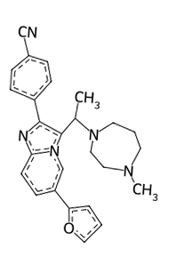 CC(c1c(-c2ccc(C#N)cc2)nc2ccc(-c3ccco3)cn12)N1CCCN(C)CC1